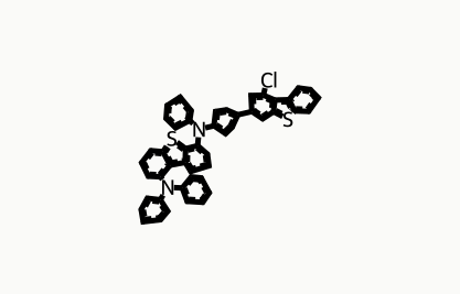 Clc1cc(-c2ccc(N(c3ccccc3)c3cccc4c3sc3cccc(N(c5ccccc5)c5ccccc5)c34)cc2)cc2sc3ccccc3c12